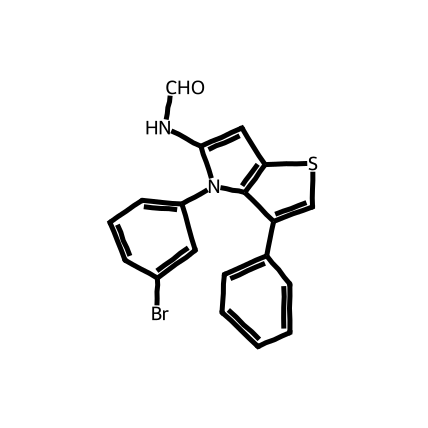 O=CNc1cc2scc(-c3ccccc3)c2n1-c1cccc(Br)c1